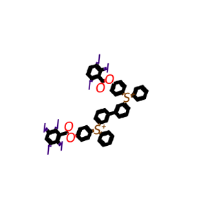 O=C(Oc1ccc([S+](c2ccccc2)c2cccc(-c3cccc([S+](c4ccccc4)c4ccc(OC(=O)c5c(I)c(I)cc(I)c5I)cc4)c3)c2)cc1)c1c(I)ccc(I)c1I